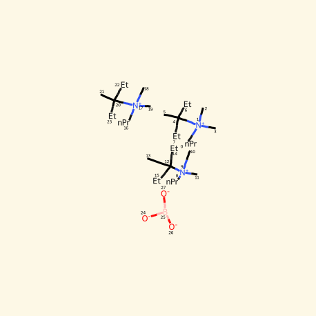 CCC[N+](C)(C)C(C)(CC)CC.CCC[N+](C)(C)C(C)(CC)CC.CCC[N+](C)(C)C(C)(CC)CC.[O-]B([O-])[O-]